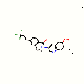 Cc1cc(/C=C/C(F)(F)F)ccc1C(=O)Nc1cnc2c(c1)CC(O)CC2